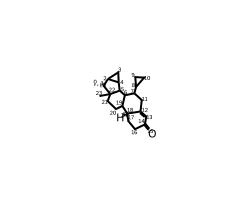 C[C@@H]1C2CC2C2C3C(C4CC4)CC4=CC(=O)CC[C@@H]4C3CCC21C